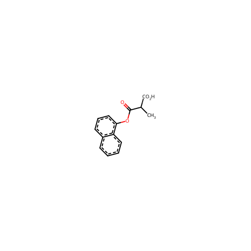 CC(C(=O)O)C(=O)Oc1cccc2ccccc12